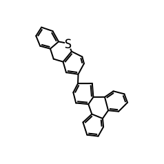 c1ccc2c(c1)Cc1cc(-c3ccc4c5ccccc5c5ccccc5c4c3)ccc1S2